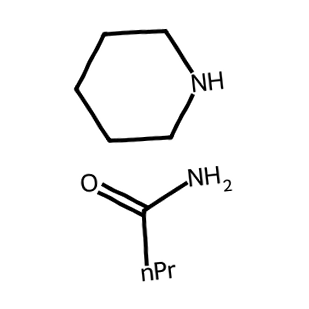 C1CCNCC1.CCCC(N)=O